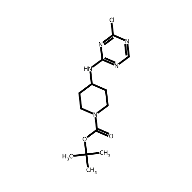 CC(C)(C)OC(=O)N1CCC(Nc2ncnc(Cl)n2)CC1